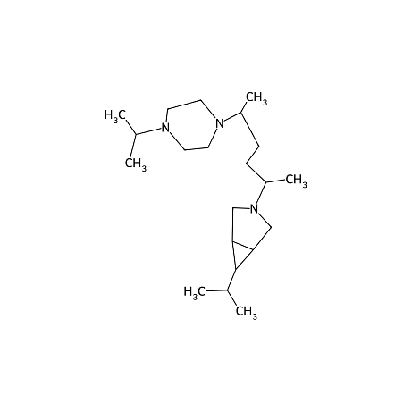 CC(C)C1C2CN(C(C)CCC(C)N3CCN(C(C)C)CC3)CC21